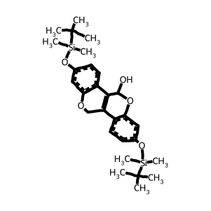 CC(C)(C)[Si](C)(C)Oc1ccc2c(c1)OC(O)C1=C2COc2cc(O[Si](C)(C)C(C)(C)C)ccc21